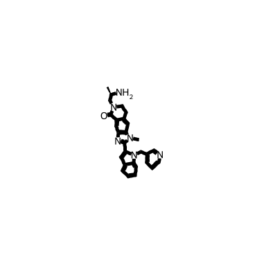 C[C@@H](N)CN1CCc2cc3c(cc2C1=O)nc(-c1cc2ccccc2n1Cc1cccnc1)n3C